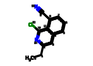 CCc1cc2cccc(C#N)c2c(Cl)n1